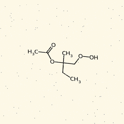 CCC(C)(COO)OC(C)=O